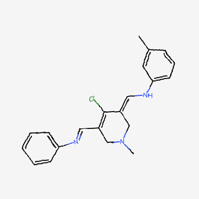 Cc1cccc(N/C=C2\CN(C)CC(/C=N/c3ccccc3)=C2Cl)c1